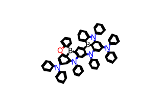 C1=C(N(c2ccccc2)c2ccccc2)C=C2C3B(c4cc5c(cc4N2c2ccccc2)N(c2ccccc2)c2cc(N(c4ccccc4)c4ccccc4)cc4c2B5c2ccccc2O4)c2ccccc2N(c2ccccc2)C13